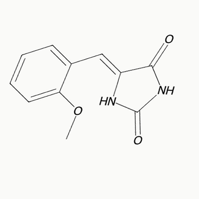 COc1ccccc1/C=C1\NC(=O)NC1=O